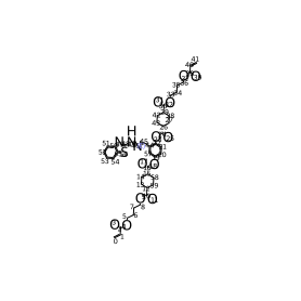 C=CC(=O)OCCCCOC(=O)[C@H]1CC[C@H](C(=O)Oc2ccc(OC(=O)[C@H]3CC[C@H](C(=O)OCCCCOC(=O)C=C)CC3)c(/C=N/Nc3nc4ccccc4s3)c2)CC1